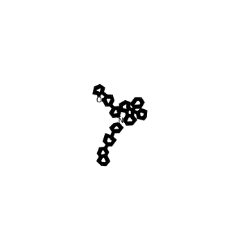 c1ccc(C2(c3ccccc3)c3ccccc3-c3c(N(c4ccc(-c5ccc(-c6ccc7ccccc7c6)cc5)cc4)c4ccc(-c5ccc6c(c5)oc5ccccc56)cc4)cccc32)cc1